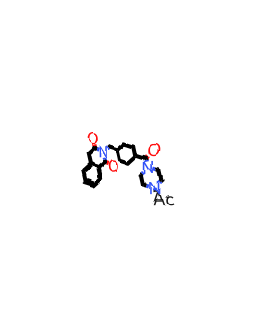 CC(=O)N1CCN(C(=O)C2CCC(CN3C(=O)Cc4ccccc4C3=O)CC2)CC1